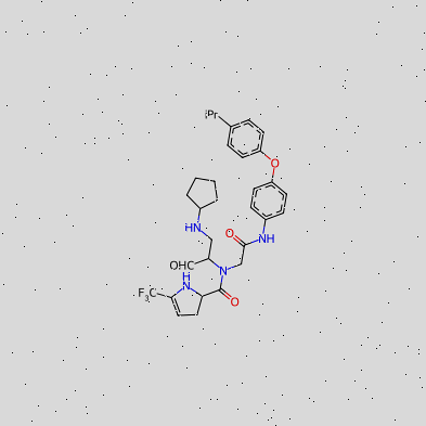 CC(C)c1ccc(Oc2ccc(NC(=O)CN(C(=O)C3CC=C(C(F)(F)F)N3)C(C=O)CNC3CCCC3)cc2)cc1